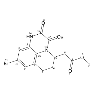 COC(=O)CC1CCc2cc(Br)cc3[nH]c(=O)c(=O)n1c23